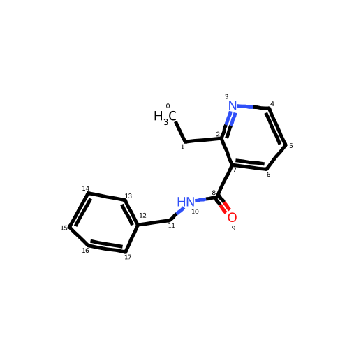 CCc1ncccc1C(=O)NCc1ccccc1